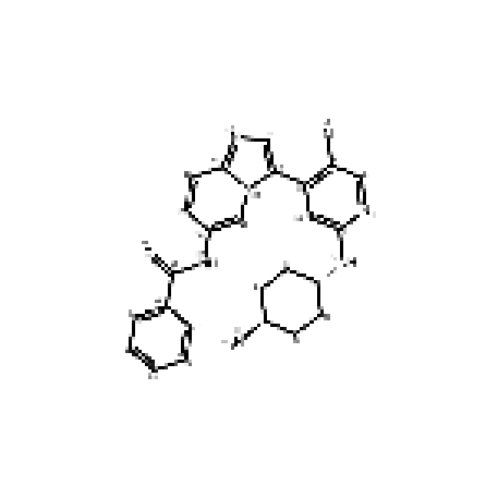 N[C@H]1CC[C@H](Nc2ncc(Cl)c(-c3cnc4ccc(NC(=O)c5ccccc5)cn34)n2)CC1